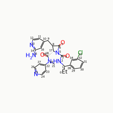 CC[C@@H](NC(=O)N1C(=O)C(Cc2ccnc(N)c2)[C@H]1C(=O)N(C)c1ccncc1)c1cccc(Cl)c1